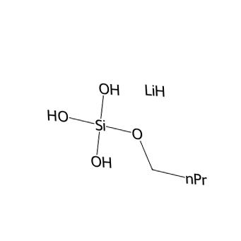 CCCCO[Si](O)(O)O.[LiH]